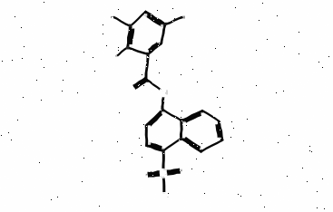 O=C(Nc1ccc(S(=O)(=O)O)c2ccccc12)c1cc(I)cc(I)c1I